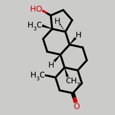 CC1CC(=O)CC2CC[C@@H]3[C@@H](CC[C@]4(C)C(O)CC[C@@H]34)[C@@]12C